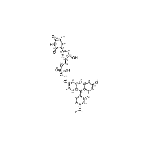 COc1ccc(-c2c3ccc(=O)cc-3oc3cc(OCOP(=O)(O)OC[C@H]4O[C@@H](n5cc(C)c(=O)[nH]c5=O)C[C@H]4O)ccc23)c(C)c1